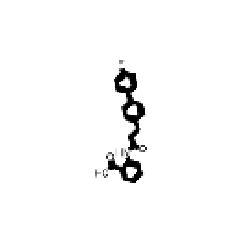 O=C(CCc1ccc(-c2ccc(F)cc2)cc1)Nc1ccccc1C(=O)O